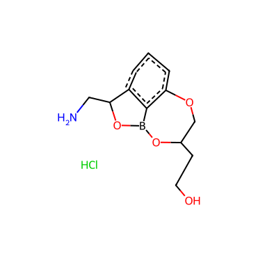 Cl.NCC1OB2OC(CCO)COc3cccc1c32